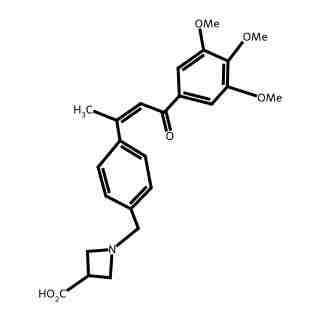 COc1cc(C(=O)/C=C(/C)c2ccc(CN3CC(C(=O)O)C3)cc2)cc(OC)c1OC